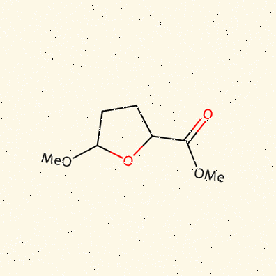 COC(=O)C1CCC(OC)O1